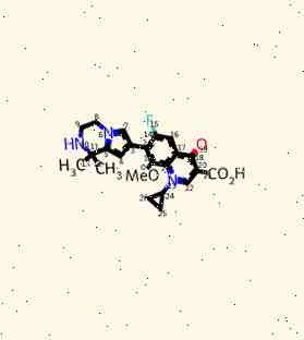 COc1c(-c2cc3n(c2)CCNC3(C)C)c(F)cc2c(=O)c(C(=O)O)cn(C3CC3)c12